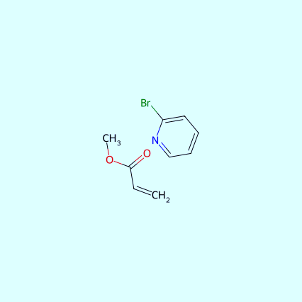 Brc1ccccn1.C=CC(=O)OC